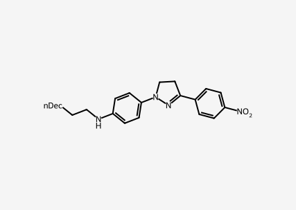 CCCCCCCCCCCCNc1ccc(N2CCC(c3ccc([N+](=O)[O-])cc3)=N2)cc1